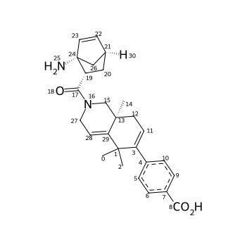 CC1(C)C(c2ccc(C(=O)O)cc2)=CC[C@]2(C)CN(C(=O)[C@H]3C[C@@H]4C=C[C@@]3(N)C4)CC=C12